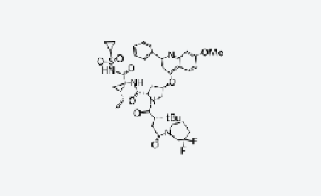 C=C[C@@H]1C[C@]1(NC(=O)[C@@H]1C[C@@H](Oc2cc(-c3ccccc3)nc3cc(OC)ccc23)CN1C(=O)[C@@H](CC(=O)N1CCCC(F)(F)C1)C(C)(C)C)C(=O)NS(=O)(=O)C1CC1